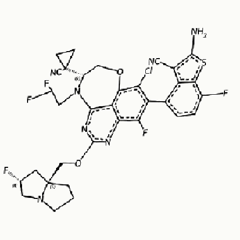 N#Cc1c(N)sc2c(F)ccc(-c3c(Cl)c4c5c(nc(OC[C@@]67CCCN6C[C@H](F)C7)nc5c3F)N(CC(F)F)[C@H](C3(C#N)CC3)CO4)c12